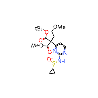 COCCC(C(=O)OC)(C(=O)OC(C)(C)C)c1ccnc(N[S+]([O-])C2CC2)n1